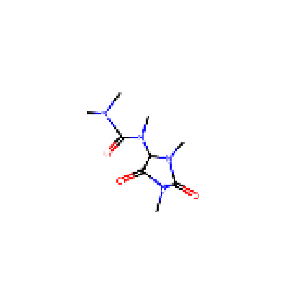 CN(C)C(=O)N(C)C1C(=O)N(C)C(=O)N1C